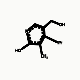 Cc1c(O)ncc(CO)c1C(C)C